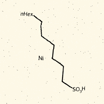 CCCCCCCCCCCCS(=O)(=O)O.[Ni]